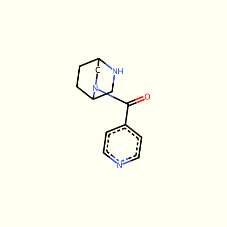 O=C(c1ccncc1)N1CC2CCC1CN2